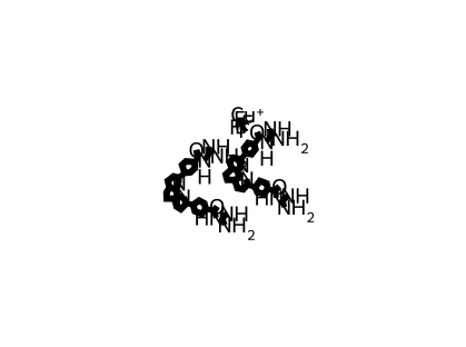 F[B-](F)(F)F.N=C(N)NC(=O)c1ccc(-c2ccc3ccc4ccc(-c5ccc(C(=O)NC(=N)N)cc5)nc4c3n2)cc1.N=C(N)NC(=O)c1ccc(-c2ccc3ccc4ccc(-c5ccc(C(=O)NC(=N)N)cc5)nc4c3n2)cc1.[Cu+]